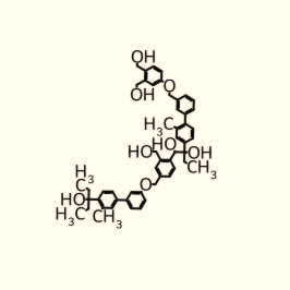 CCC(O)(CC)c1ccc(-c2cccc(OCc3ccc(C(O)C(O)(CC)c4ccc(-c5cccc(COc6ccc(CO)c(CO)c6)c5)c(C)c4)c(CO)c3)c2)cc1C